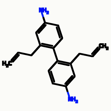 C=CCc1cc(N)ccc1-c1ccc(N)cc1CC=C